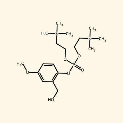 COc1ccc(OP(=O)(OCC[Si](C)(C)C)OCC[Si](C)(C)C)c(CO)c1